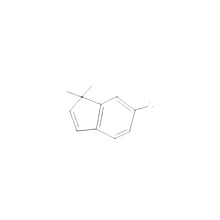 O=[N+]([O-])c1ccc2c(c1)C(F)(F)C=C2